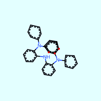 c1ccc(N(c2ccccc2)c2ccccc2Nc2ccccc2N(c2ccccc2)c2ccccc2)cc1